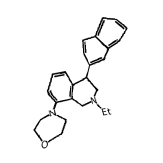 CCN1Cc2c(cccc2N2CCOCC2)C(c2ccc3ccccc3c2)C1